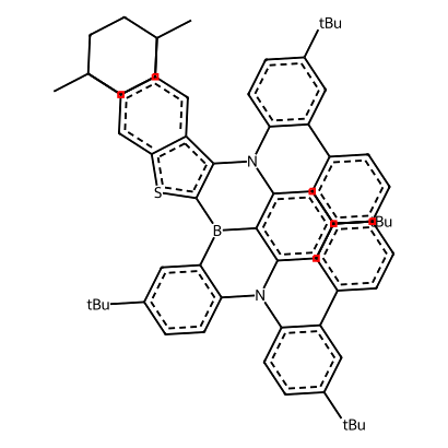 CC(C)(C)c1ccc2c(c1)B1c3sc4cc5c(cc4c3N(c3ccc(C(C)(C)C)cc3-c3ccccc3)c3cc(C(C)(C)C)cc(c31)N2c1ccc(C(C)(C)C)cc1-c1ccccc1)C1(C)CCC5(C)CC1